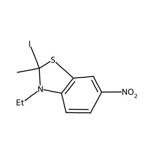 CCN1c2ccc([N+](=O)[O-])cc2SC1(C)I